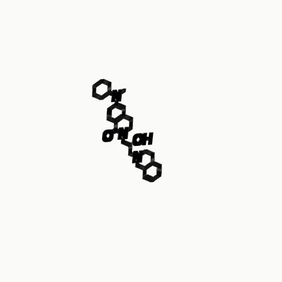 CN(c1ccc2c(c1)CCN(C[C@H](O)CN1CCC3C=CC=CC3C1)C2=O)C1CCCCC1